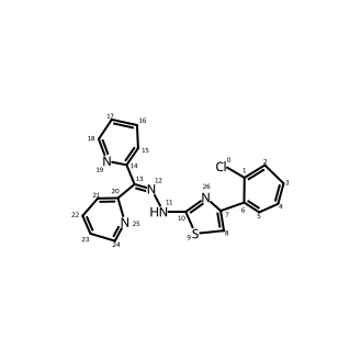 Clc1ccccc1-c1csc(NN=C(c2ccccn2)c2ccccn2)n1